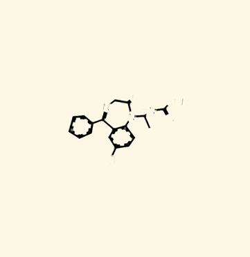 CC(NC(=O)O)N1C(=O)CN=C(c2ccccc2)c2cc(Cl)ccc21